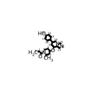 C=CC(=O)N1CC[C@@H](Oc2cc(-c3ccc(O)cc3)cn3cncc23)C[C@H]1C